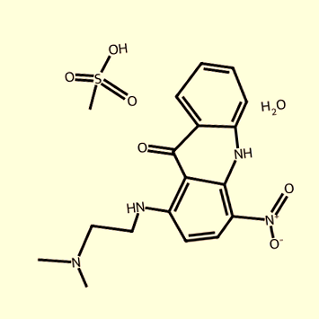 CN(C)CCNc1ccc([N+](=O)[O-])c2[nH]c3ccccc3c(=O)c12.CS(=O)(=O)O.O